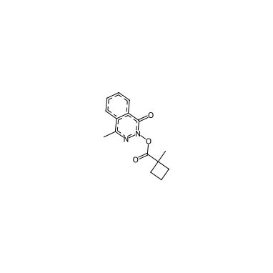 Cc1nn(OC(=O)C2(C)CCC2)c(=O)c2ccccc12